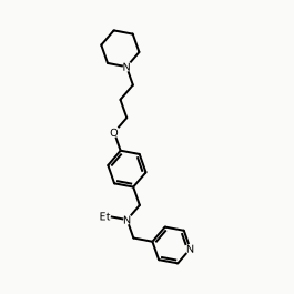 CCN(Cc1ccncc1)Cc1ccc(OCCCN2CCCCC2)cc1